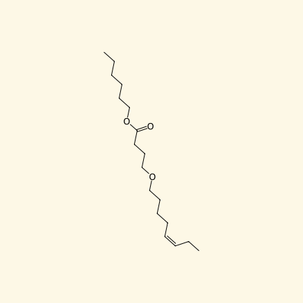 CC/C=C\CCCCOCCCC(=O)OCCCCCC